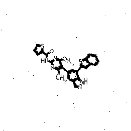 Cc1nc(NC(=O)c2cccs2)nc(C)c1-c1cc(-c2cc3ccccc3s2)c2[nH]ncc2c1